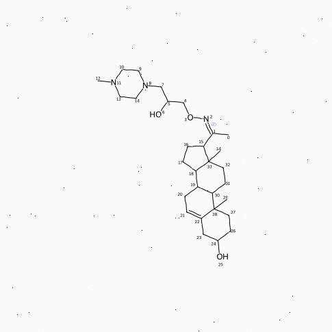 C/C(=N/OCC(O)CN1CCN(C)CC1)C1CCC2C3CC=C4CC(O)CCC4(C)C3CCC12C